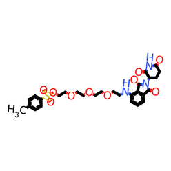 Cc1ccc(S(=O)(=O)OCCOCCOCCOCCNc2cccc3c2C(=O)N(C2CCC(=O)NC2=O)C3=O)cc1